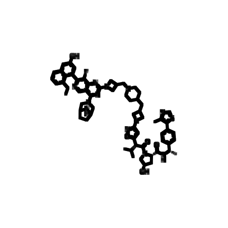 CCc1cccc2cc(O)cc(-c3ncc4c(N5CC6CCC(C5)N6)nc(N5CC(CN6CCC(CC7CN(c8cc([C@@H](C(=O)N9C[C@H](O)C[C@H]9C(=O)N[C@@H](C)c9ccc(-c%10scnc%10C)cc9)C(C)C)on8)C7)CC6)C5)nc4c3F)c12